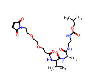 CC(C)COC(=O)NCCNC(=O)[C@H](C)NC(=O)C(NC(=O)CCOCCOCCN1C(=O)C=CC1=O)C(C)C